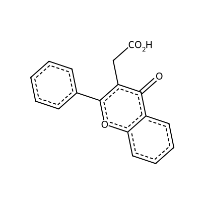 O=C(O)Cc1c(-c2ccccc2)oc2ccccc2c1=O